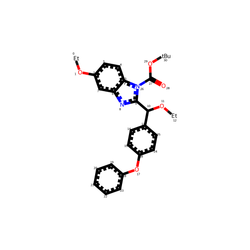 CCOc1ccc2c(c1)nc(C(OCC)c1ccc(Oc3ccccc3)cc1)n2C(=O)OC(C)(C)C